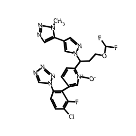 Cn1nncc1-c1cnn(C(CCOC(F)F)c2ccc(-c3c(-n4cnnn4)ccc(Cl)c3F)c[n+]2[O-])c1